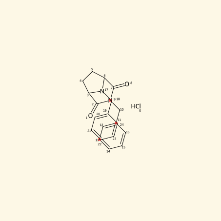 Cl.O=C1C2CCC(C(=O)N1Cc1ccccc1)N2Cc1ccccc1